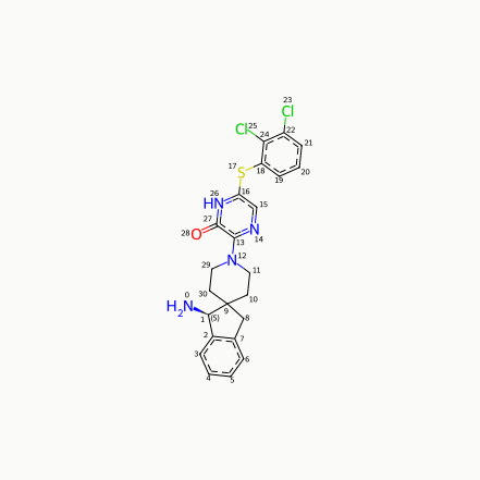 N[C@@H]1c2ccccc2CC12CCN(c1ncc(Sc3cccc(Cl)c3Cl)[nH]c1=O)CC2